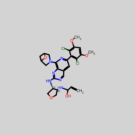 C=CC(O)N[C@H]1COC[C@H]1Nc1ncc2cc(-c3c(Cl)c(OC)cc(OC)c3Cl)nc(N3CC4CC(C3)O4)c2n1